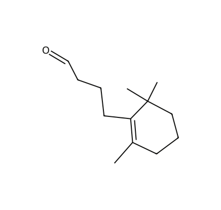 CC1=C(CCCC=O)C(C)(C)CCC1